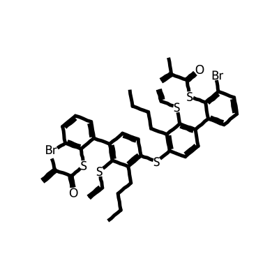 C=CSc1c(-c2cccc(Br)c2SC(=O)C(=C)C)ccc(Sc2ccc(-c3cccc(Br)c3SC(=O)C(=C)C)c(SC=C)c2CCCC)c1CCCC